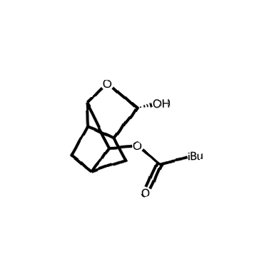 CCC(C)C(=O)OC1C2CC3C1O[C@H](O)C3C2